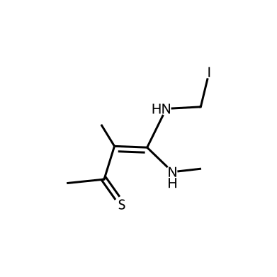 CN/C(NCI)=C(/C)C(C)=S